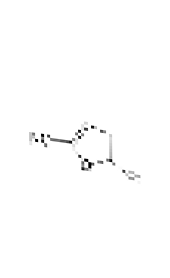 CCc1ccc(C#N)o1